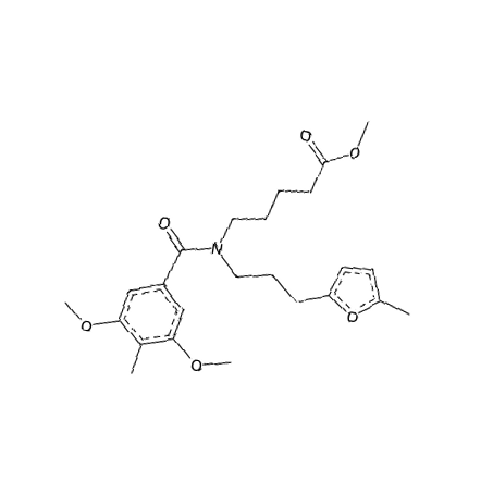 COC(=O)CCCCN(CCCc1ccc(C)o1)C(=O)c1cc(OC)c(C)c(OC)c1